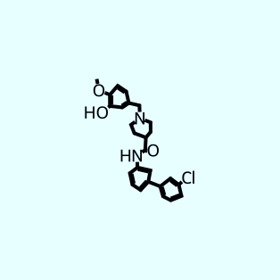 COc1ccc(CN2CCC(C(=O)Nc3cccc(-c4cccc(Cl)c4)c3)CC2)cc1O